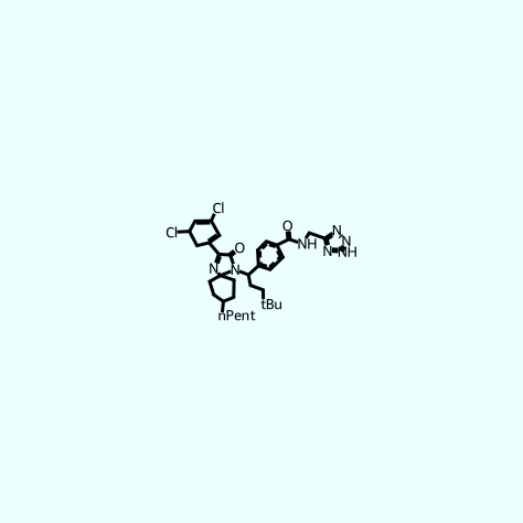 CCCCCC1CCC2(CC1)N=C(C1=CC(Cl)=CC(Cl)C1)C(=O)N2C(CCC(C)(C)C)c1ccc(C(=O)NCc2nn[nH]n2)cc1